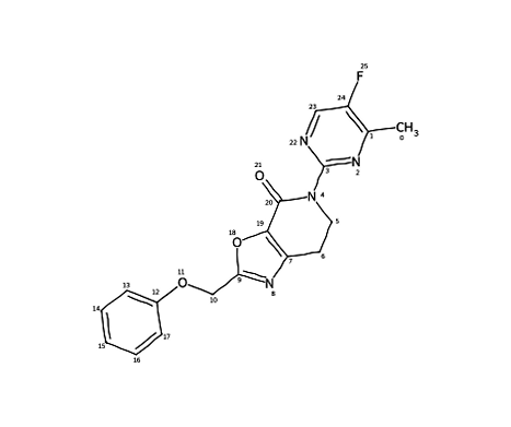 Cc1nc(N2CCc3nc(COc4ccccc4)oc3C2=O)ncc1F